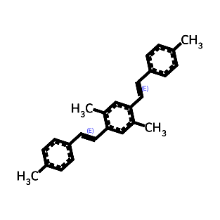 Cc1ccc(/C=C/c2cc(C)c(/C=C/c3ccc(C)cc3)cc2C)cc1